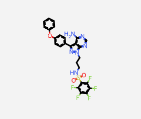 Nc1ncnc2c1c(-c1ccc(Oc3ccccc3)cc1)nn2CCCNS(=O)(=O)c1c(F)c(F)c(F)c(F)c1F